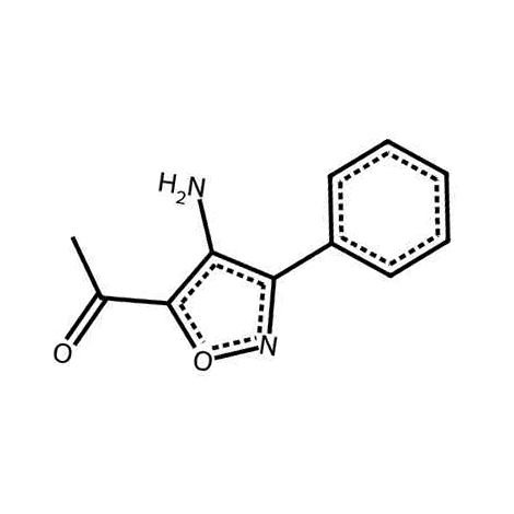 CC(=O)c1onc(-c2ccccc2)c1N